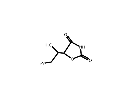 CC(C)CC(C)C1OC(=O)NC1=O